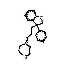 c1ccc(C2(CCCN3CCOCC3)COc3ccccc32)cc1